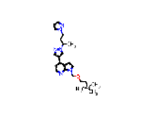 CC(CCn1cccn1)n1cc(-c2ccnc3c2ccn3COCC[Si](C)(C)C)cn1